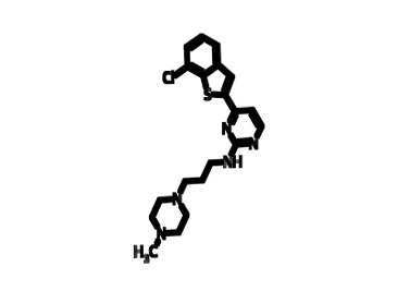 CN1CCN(CCCNc2nccc(-c3cc4cccc(Cl)c4s3)n2)CC1